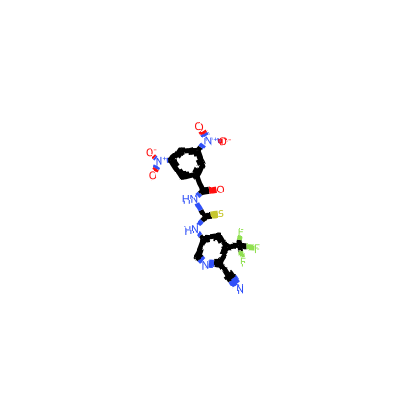 N#Cc1ncc(NC(=S)NC(=O)c2cc([N+](=O)[O-])cc([N+](=O)[O-])c2)cc1C(F)(F)F